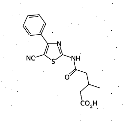 CC(CC(=O)O)CC(=O)Nc1nc(-c2ccccc2)c(C#N)s1